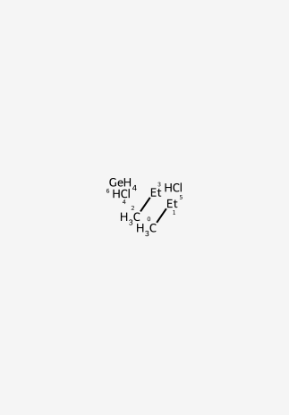 CCC.CCC.Cl.Cl.[GeH4]